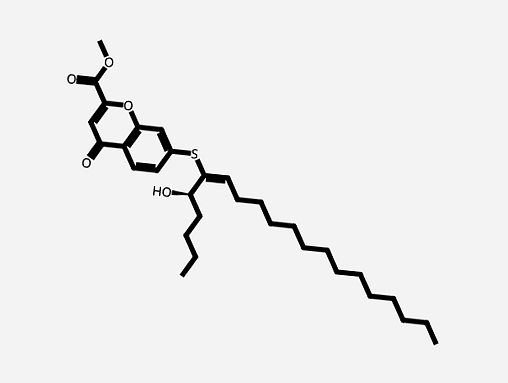 CCCCCCCCCCCCCC=C(Sc1ccc2c(=O)cc(C(=O)OC)oc2c1)[C@H](O)CCCC